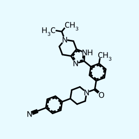 Cc1ccc(C(=O)N2CCC(c3ccc(C#N)cc3)CC2)cc1-c1nc2c([nH]1)CN(C(C)C)CC2